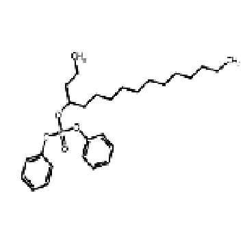 CCCCCCCCCCCCC(CCC)OP(=O)(Oc1ccccc1)Oc1ccccc1